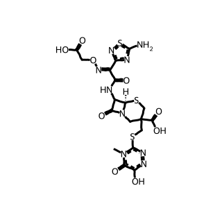 Cn1c(SCC2(C(=O)O)CS[C@@H]3C(NC(=O)C(=NOCC(=O)O)c4nsc(N)n4)C(=O)N3C2)nnc(O)c1=O